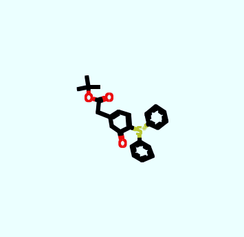 CC(C)(C)OC(=O)CC1=CC=C([S+](c2ccccc2)c2ccccc2)C(=O)C1